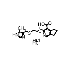 Cc1[nH]cnc1CSCCNc1ncc2c(c1C(=O)O)CCC2.Cl.Cl